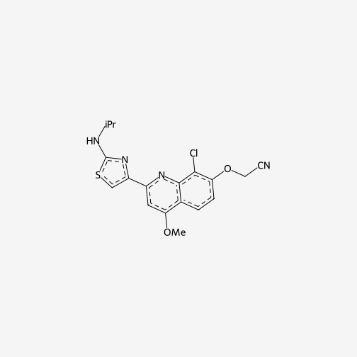 COc1cc(-c2csc(NC(C)C)n2)nc2c(Cl)c(OCC#N)ccc12